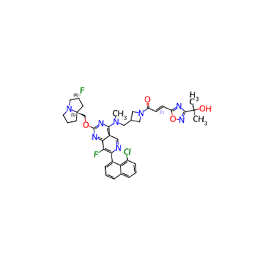 CN(CC1CN(C(=O)/C=C/c2nc(C(C)(C)O)no2)C1)c1nc(OC[C@@]23CCCN2C[C@H](F)C3)nc2c(F)c(-c3cccc4cccc(Cl)c34)ncc12